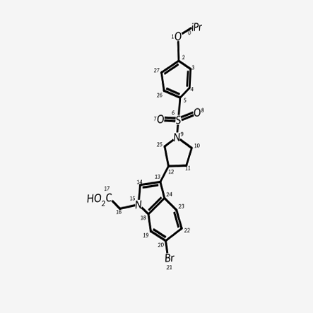 CC(C)Oc1ccc(S(=O)(=O)N2CCC(c3cn(CC(=O)O)c4cc(Br)ccc34)C2)cc1